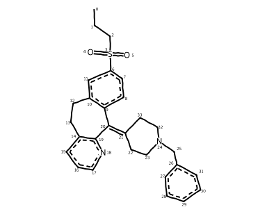 CCCS(=O)(=O)c1ccc2c(c1)CCc1cccnc1C2=C1CCN(Cc2ccccc2)CC1